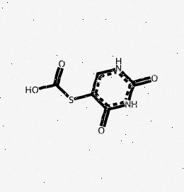 O=C(O)Sc1c[nH]c(=O)[nH]c1=O